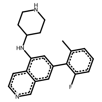 Cc1cccc(F)c1-c1cc(NC2CCNCC2)c2ccncc2c1